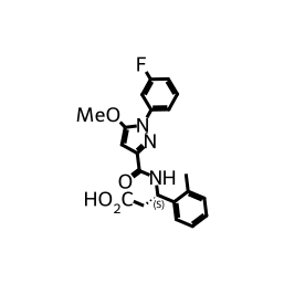 COc1cc(C(=O)N[C@@H](CC(=O)O)c2ccccc2C)nn1-c1cccc(F)c1